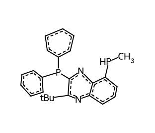 CPc1cccc2nc(C(C)(C)C)c(P(c3ccccc3)c3ccccc3)nc12